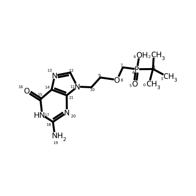 CC(C)(C)P(=O)(O)COCCn1cnc2c(=O)[nH]c(N)nc21